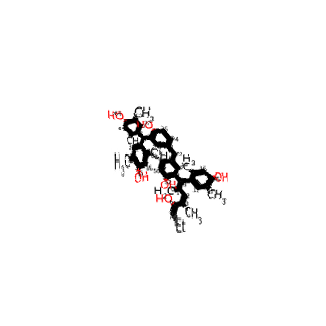 C=C(/C=C(C)\C(O)=C/CC)C(c1cc(C)c(O)cc1C)c1cc(Cc2ccc(O)c(C(c3cc(C)c(O)cc3C)c3cc(C)c(O)cc3C)c2)ccc1O